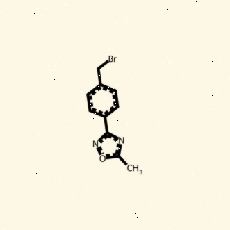 Cc1nc(-c2ccc(CBr)cc2)no1